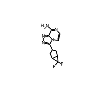 Nc1nccn2c(C3CC4C(C3)C4(F)F)nnc12